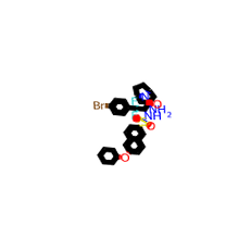 NC1CC2CCC(C1)N2C(=O)[C@@H](NS(=O)(=O)c1ccc2cc(OC3CCCCC3)ccc2c1)C(F)(F)c1ccc(Br)cc1